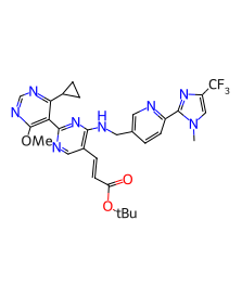 COc1ncnc(C2CC2)c1-c1ncc(/C=C/C(=O)OC(C)(C)C)c(NCc2ccc(-c3nc(C(F)(F)F)cn3C)nc2)n1